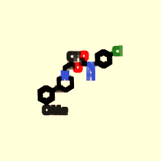 COc1cccc([C@@H]2CCCN(C[C@H](OC(=O)Nc3ccc(Cl)cc3)C(F)(F)F)C2)c1